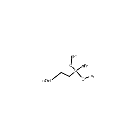 CCCCCCCCCC[Si](CCC)(OCCC)OCCC